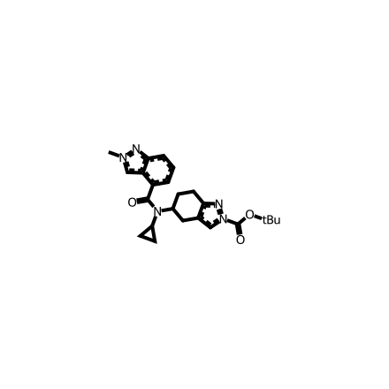 Cn1cc2c(C(=O)N(C3CC3)C3CCc4nn(C(=O)OC(C)(C)C)cc4C3)cccc2n1